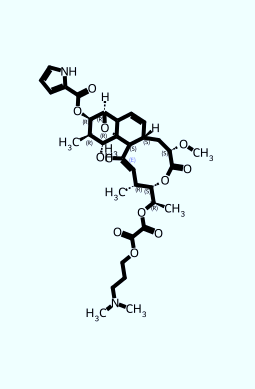 CO[C@H]1C[C@H]2C=CC3C4[C@H](O)[C@@H](C)[C@@H](OC(=O)c5ccc[nH]5)[C@@H]3O[C@]42/C(C)=C/[C@@H](C)[C@@H]([C@@H](C)OC(=O)C(=O)OCCCN(C)C)OC1=O